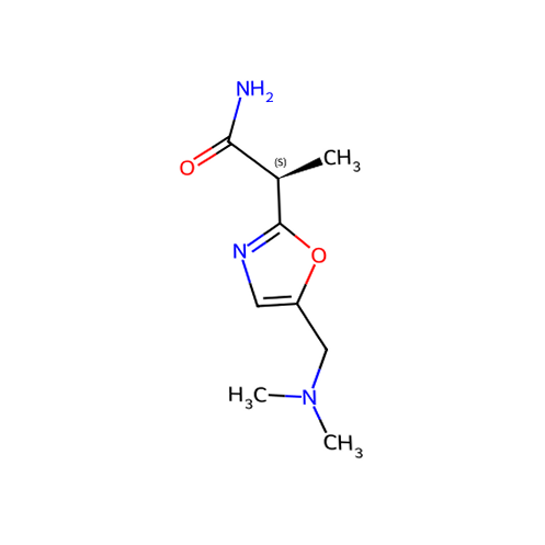 C[C@H](C(N)=O)c1ncc(CN(C)C)o1